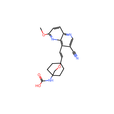 COc1ccc2ncc(C#N)c(C=CC34CCC(NC(=O)O)(CC3)CO4)c2n1